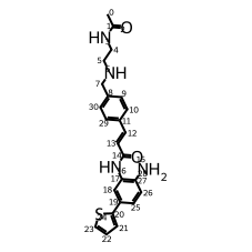 CC(=O)NCCNCc1ccc(/C=C/C(=O)Nc2cc(-c3cccs3)ccc2N)cc1